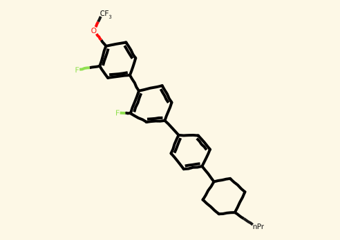 CCCC1CCC(c2ccc(-c3ccc(-c4ccc(OC(F)(F)F)c(F)c4)c(F)c3)cc2)CC1